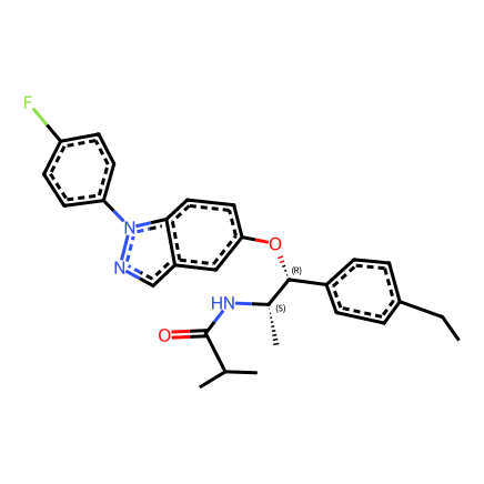 CCc1ccc([C@@H](Oc2ccc3c(cnn3-c3ccc(F)cc3)c2)[C@H](C)NC(=O)C(C)C)cc1